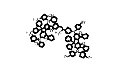 Cc1ccc(C)c(N(c2ccccc2)c2cc3c(c4c2oc2ccccc24)-c2c(cc(N(c4ccccc4)c4cc(C)ccc4C)c4c2oc2cc(CC(C)c5ccc(N(c6ccc(C(C)C)cc6)c6cc7c(c8c6oc6ccccc68)-c6c(cc(N(c8ccc(C(C)C)cc8)c8ccc(C(C)C)cc8)c8c6oc6ccccc68)C7(c6ccccc6)c6ccccc6)cc5)ccc24)C3(c2ccccc2)c2ccccc2)c1